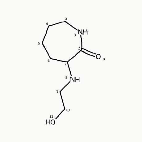 O=C1NCCCCC1NCCO